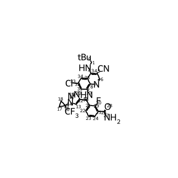 CC(C)(C)CNc1c(C#N)cnc2c(N[C@H](c3cn(C4(C(F)(F)F)CC4)nn3)c3cccc(C(N)=O)c3F)cc(Cl)cc12